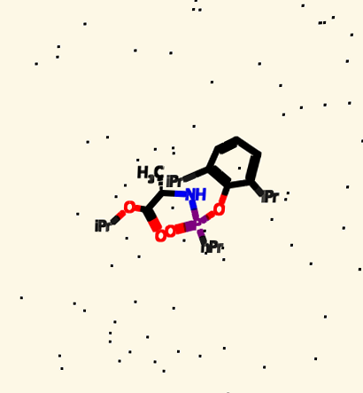 CCCP(=O)(N[C@@H](C)C(=O)OC(C)C)Oc1c(C(C)C)cccc1C(C)C